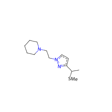 CSC(C)c1ccn(CCN2CCCCC2)n1